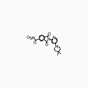 CC1(C)CCN(c2ccnc(N3C(=O)c4ccc(C(=O)N=S=O)cc4C3=O)c2)CC1